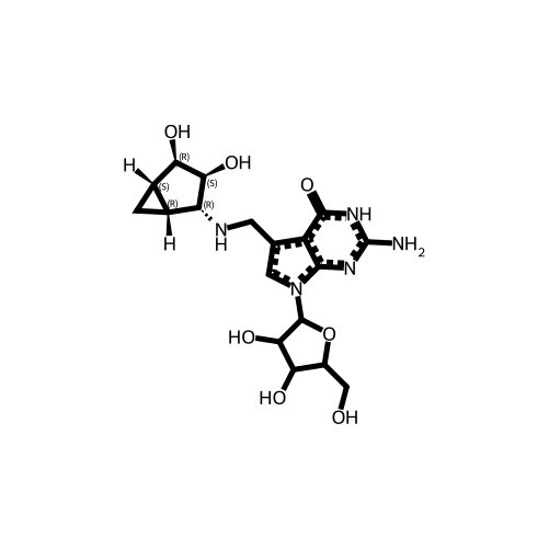 Nc1nc2c(c(CN[C@H]3[C@H](O)[C@H](O)[C@H]4C[C@H]43)cn2C2OC(CO)C(O)C2O)c(=O)[nH]1